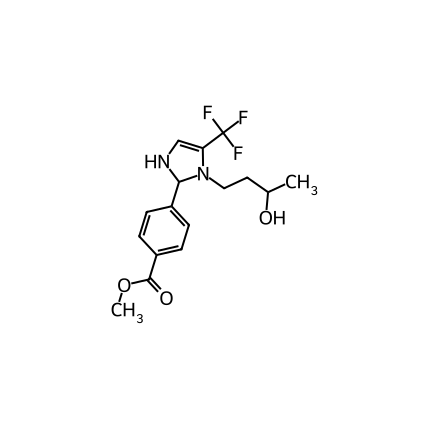 COC(=O)c1ccc(C2NC=C(C(F)(F)F)N2CCC(C)O)cc1